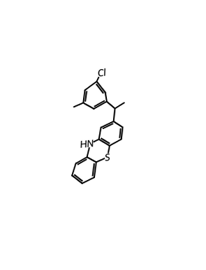 Cc1cc(Cl)cc(C(C)c2ccc3c(c2)Nc2ccccc2S3)c1